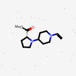 C=CN1CCC(N2CCC[C@@H]2C(=O)OC)CC1